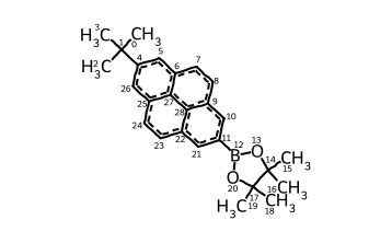 CC(C)(C)c1cc2ccc3cc(B4OC(C)(C)C(C)(C)O4)cc4ccc(c1)c2c34